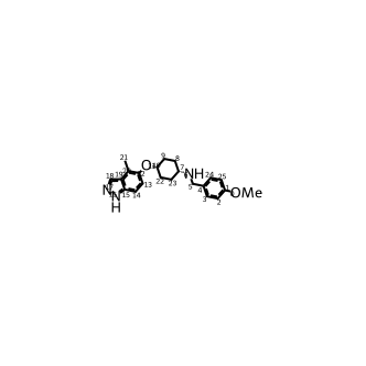 COc1ccc(CN[C@H]2CC[C@@H](Oc3ccc4[nH]ncc4c3C)CC2)cc1